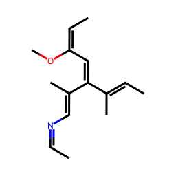 C\C=N/C=C(C)/C(=C\C(=C/C)OC)C(/C)=C/C